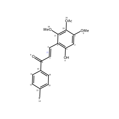 COc1cc(O)c(/C=C/C(=O)c2ccc(F)cc2)c(OC)c1OC(C)=O